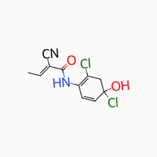 CC=C(C#N)C(=O)NC1=C(Cl)CC(O)(Cl)C=C1